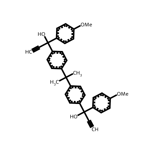 C#CC(O)(c1ccc(OC)cc1)c1ccc(C(C)(C)c2ccc(C(O)(C#C)c3ccc(OC)cc3)cc2)cc1